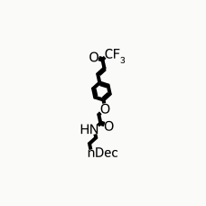 CCCCCCCCCCCCNC(=O)COc1ccc(C=CC(=O)C(F)(F)F)cc1